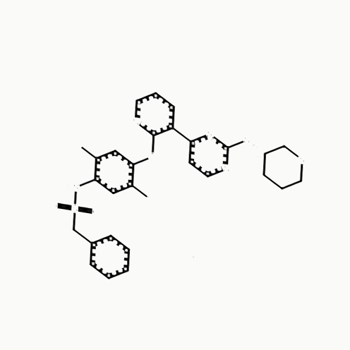 Cl.O=S(=O)(Cc1ccccc1)Nc1cc(F)c(Oc2ncccc2-c2ccnc(N[C@H]3CCCNC3)n2)cc1F